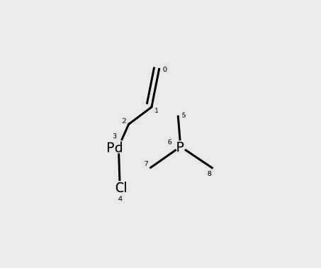 C=C[CH2][Pd][Cl].CP(C)C